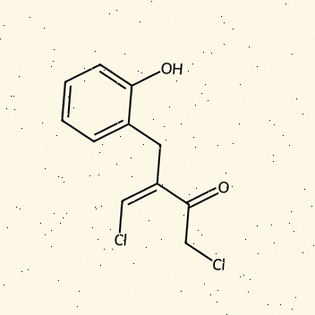 O=C(CCl)C(=CCl)Cc1ccccc1O